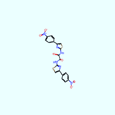 O=C(Nc1nc(-c2ccc([N+](=O)[O-])cc2)cs1)C(=O)Nc1nc(-c2ccc([N+](=O)[O-])cc2)cs1